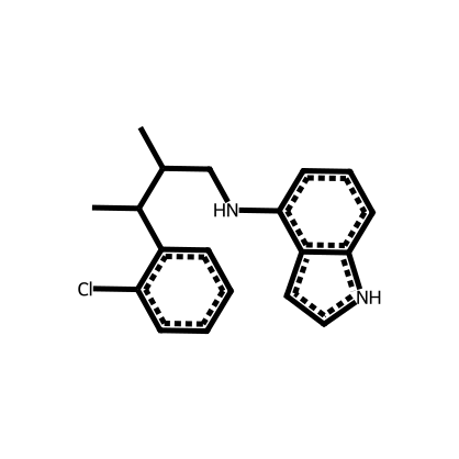 CC(CNc1cccc2[nH]ccc12)C(C)c1ccccc1Cl